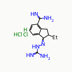 CCC1Cc2c(C(=N)N)cccc2C1=NNC(=N)N.Cl.Cl